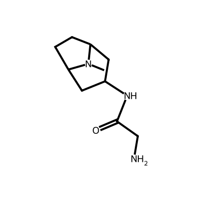 CN1C2CCC1CC(NC(=O)CN)C2